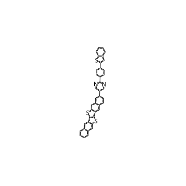 c1ccc2cc3c(cc2c1)sc1c2cc4ccc(-c5cnc(-c6ccc(-c7cc8ccccc8s7)cc6)nc5)cc4cc2sc31